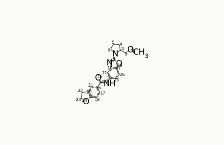 COCC1CCCN1c1nc2cc(NC(=O)c3ccc4c(c3)CCO4)ccc2o1